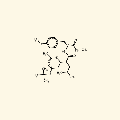 CNC(=O)[C@H](Cc1ccc(OC)cc1)NC(=O)C(CC(C)C)C(CC(=O)OC(C)(C)C)SC(C)=O